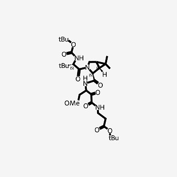 COCC(NC(=O)[C@@H]1[C@@H]2C(CN1C(=O)[C@@H](NC(=O)OC(C)(C)C)C(C)(C)C)C2(C)C)C(=O)C(=O)NCCC(=O)OC(C)(C)C